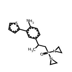 CC(CP(=O)(N1CC1)N1CC1)c1ccc(N)c(-c2cccs2)c1